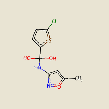 Cc1cc(NC(O)(O)c2ccc(Cl)s2)no1